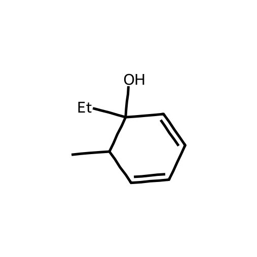 CCC1(O)C=CC=CC1C